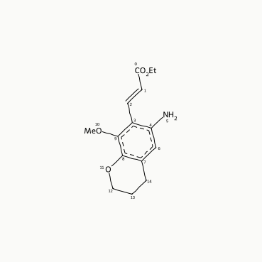 CCOC(=O)/C=C/c1c(N)cc2c(c1OC)OCCC2